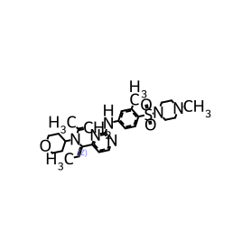 C=C(C)N(/C(=C\C)c1ccnc(Nc2ccc(S(=O)(=O)N3CCN(C)CC3)c(C)c2)n1)C1CCOCC1